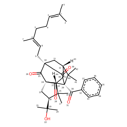 CC(C)=CCC/C(C)=C/C[C@@]12C[C@H]3C[C@@H]4C(C)(C)[C@@H](C(C)(C)O)C[C@]4(C1=O)C(=O)[C@@](C(=O)c1ccccc1)(C2=O)C3(C)C